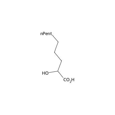 [CH2]CCCCCCCC(O)C(=O)O